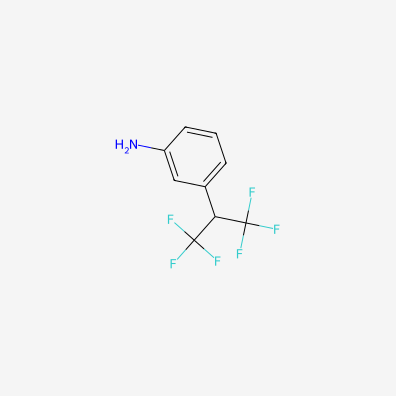 Nc1cccc(C(C(F)(F)F)C(F)(F)F)c1